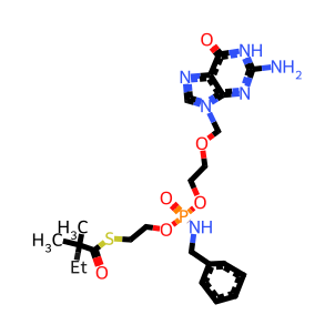 CCC(C)(C)C(=O)SCCOP(=O)(NCc1ccccc1)OCCOCn1cnc2c(=O)[nH]c(N)nc21